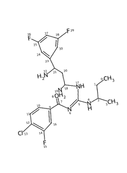 CCC(C)N/C(=N/C(=O)c1ccc(Cl)c(F)c1)NC(N)CC(N)c1cc(F)cc(F)c1